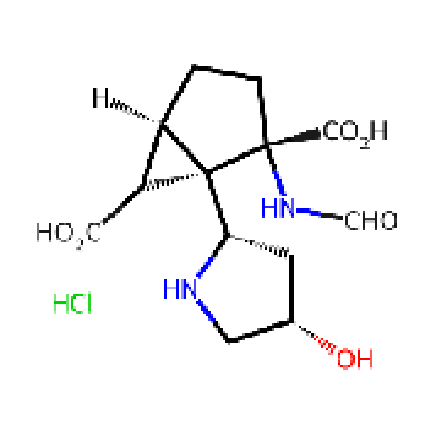 Cl.O=CN[C@@]1(C(=O)O)CC[C@@H]2C(C(=O)O)[C@]21[C@@H]1C[C@H](O)CN1